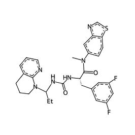 CCC(NC(=O)N[C@@H](Cc1cc(F)cc(F)c1)C(=O)N(C)c1ccc2scnc2c1)N1CCCc2cccnc21